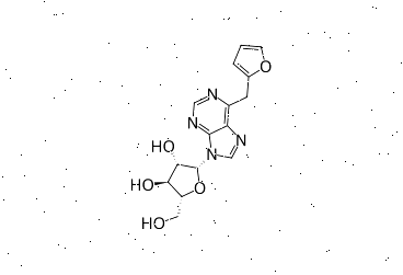 OC[C@H]1O[C@@H](n2cnc3c(Cc4ccco4)ncnc32)[C@@H](O)[C@@H]1O